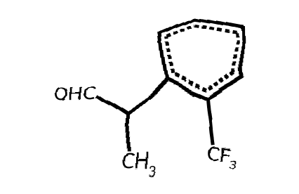 CC(C=O)c1ccccc1C(F)(F)F